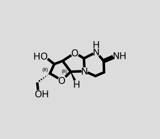 N=C1CCN2C(N1)OC1C(O)[C@@H](CO)O[C@H]12